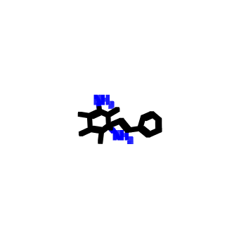 CC1=C(N)C(C)C(N)(C=Cc2ccccc2)C(C)=C1C